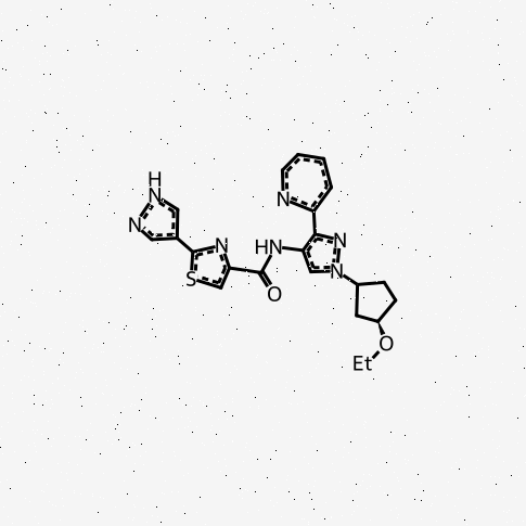 CCO[C@@H]1CCC(n2cc(NC(=O)c3csc(-c4cn[nH]c4)n3)c(-c3ccccn3)n2)C1